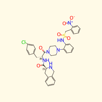 O=C(N[C@H](Cc1ccc(Cl)cc1)C(=O)N1CCN(c2ccccc2NS(=O)(=O)Cc2ccccc2[N+](=O)[O-])CC1)[C@@H]1Cc2ccccc2CN1